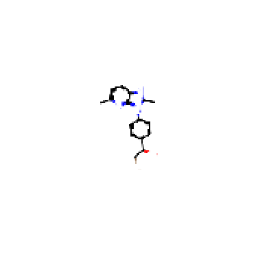 Cc1ccc2nc(C)n(-c3ccc(C(=O)CBr)cc3)c2n1